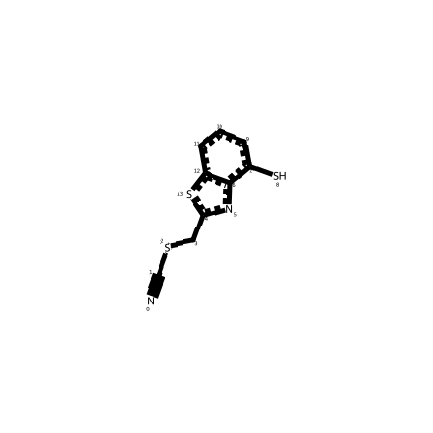 N#CSCc1nc2c(S)cccc2s1